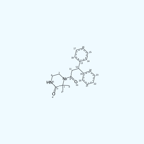 CC1(C)C(=O)NCCN1C(=O)CC(c1ccccc1)c1ccccc1